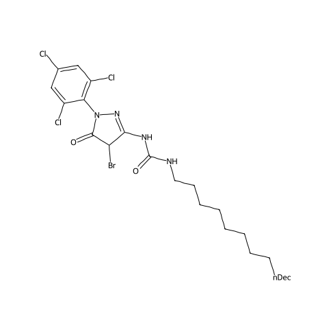 CCCCCCCCCCCCCCCCCCNC(=O)NC1=NN(c2c(Cl)cc(Cl)cc2Cl)C(=O)C1Br